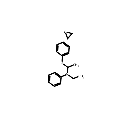 C1CO1.CCN(c1ccccc1)C(C)Oc1ccccc1